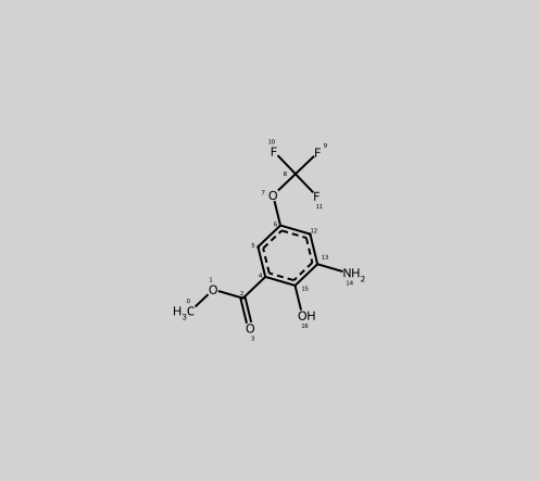 COC(=O)c1cc(OC(F)(F)F)cc(N)c1O